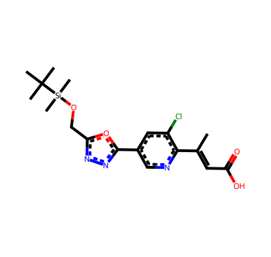 C/C(=C\C(=O)O)c1ncc(-c2nnc(CO[Si](C)(C)C(C)(C)C)o2)cc1Cl